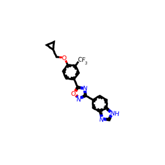 FC(F)(F)c1cc(-c2nc(-c3ccc4[nH]cnc4c3)no2)ccc1OCC1CC1